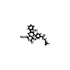 COC(=O)[C@H]1Cc2c([nH]c3ccccc23)[C@H](c2ccc(C(=O)OCC3CC3)cc2)N1C(=O)CCl